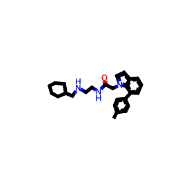 Cc1ccc(-c2cccc3ccn(CC(=O)NCCNCC4CCCCC4)c23)cc1